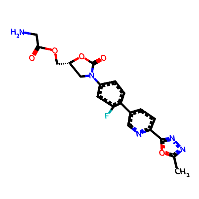 Cc1nnc(-c2ccc(-c3ccc(N4C[C@H](COC(=O)CN)OC4=O)cc3F)cn2)o1